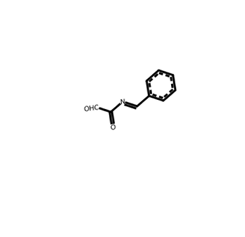 O=CC(=O)N=Cc1ccccc1